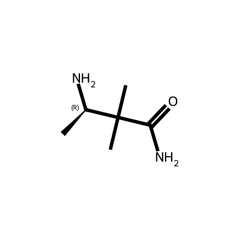 C[C@@H](N)C(C)(C)C(N)=O